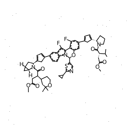 COC(=O)CC(C(=O)N1[C@@H]2C[C@@H]2C[C@H]1C1=CC=C(c2ccc3c(c2)c(F)c2n3C(c3cnc(C4CC4)s3)Oc3cc(C4=CC=C([C@@H]5CCCN5C(=O)[C@@H](CC(=O)OC)C(C)C)C4)cc(F)c3-2)C1)C1CCOC(C)(C)C1